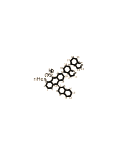 CCCCCCc1cccc2c(-c3ccc4ccccc4c3)c3ccccc3c([SH](=O)=O)c12.c1ccc2sccc2c1.c1ccc2sccc2c1